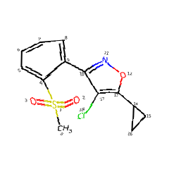 CS(=O)(=O)c1ccccc1-c1noc(C2CC2)c1Cl